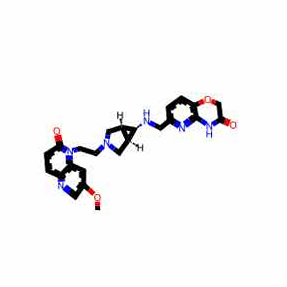 COc1cnc2ccc(=O)n(CCN3C[C@@H]4[C@H](C3)[C@H]4NCc3ccc4c(n3)NC(=O)CO4)c2c1